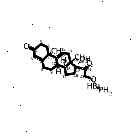 C[C@]12CCC(=O)C=C1CC[C@@H]1C2=CC[C@@]2(C)[C@H]1CC[C@]2(O)C(=O)COBP